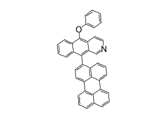 c1ccc(Oc2c3ccccc3c(-c3ccc4c5cccc6cccc(c7cccc3c74)c65)c3cnccc23)cc1